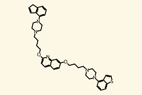 C1=Cc2c(cccc2N2CCN(CCCCOc3ccc4ccc(OCCCCN5CCN(c6cccc7sccc67)CC5)cc4n3)CC2)C1